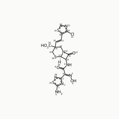 Nc1nc(C(=NO)C(=O)NC2C(=O)N3CC(C=Cc4scnc4Cl)(C(=O)O)CS[C@H]23)ns1